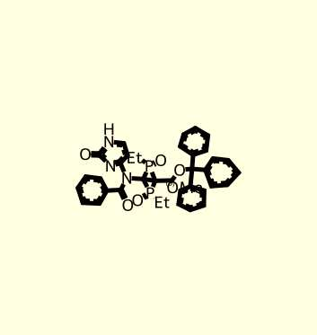 CCP1(=O)C2([C@@H](OC)OC(c3ccccc3)(c3ccccc3)c3ccccc3)C1(N(C(=O)c1ccccc1)c1cc[nH]c(=O)n1)P2(=O)CC